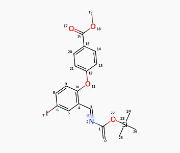 C=C(/N=C/c1cc(I)ccc1Oc1ccc(C(=O)OC)cc1)O[Si](C)(C)C